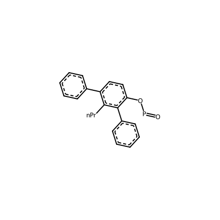 CCCc1c(-c2ccccc2)ccc(OP=O)c1-c1ccccc1